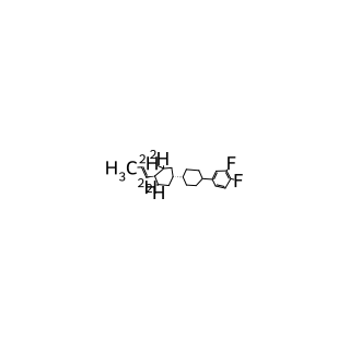 [2H]C1([2H])C[C@H](C2CCC(c3ccc(F)c(F)c3)CC2)CC([2H])([2H])[C@H]1/C=C/C